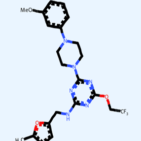 COc1cccc(N2CCN(c3nc(NCc4ccc(C)o4)nc(OCC(F)(F)F)n3)CC2)c1